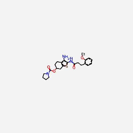 CCOc1ccccc1CCC(=O)Nc1sc2c(c1N)CCC(OC(=O)N1CCCC1)C2